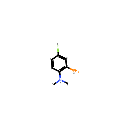 CN(C)c1ccc(F)cc1P